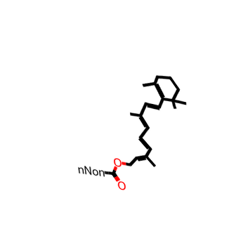 CCCCCCCCCC(=O)OCC=C(C)C=CC=C(C)C=CC1=C(C)CCCC1(C)C